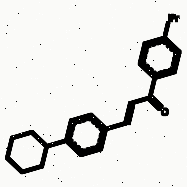 CC(C)c1ccc(C(=O)C=Cc2ccc(C3CCCCC3)cc2)cc1